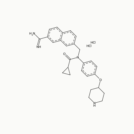 Cl.Cl.N=C(N)c1ccc2ccc(CN(C(=O)C3CC3)c3ccc(OC4CCNCC4)cc3)cc2c1